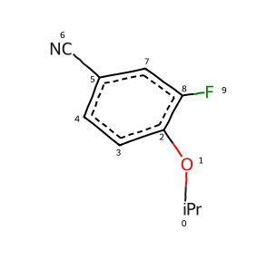 CC(C)Oc1ccc(C#N)cc1F